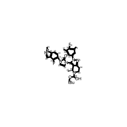 Cc1cc(-n2nc3c(c2-n2ccn(-c4ccc5c(cnn5C)c4F)c2=O)[C@H](C)N(C(O)OC(C)(C)C)CC3)cc(C)c1F